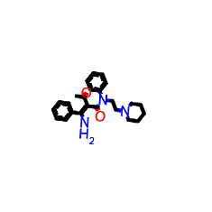 CC(=O)/C(C(=O)N(CCN1CCCCC1)c1ccccc1)=C(/N)c1ccccc1